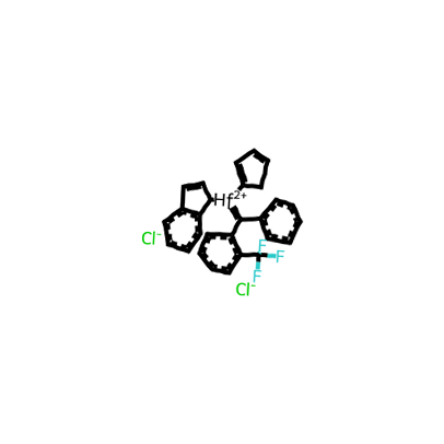 FC(F)(F)c1ccccc1[C](c1ccccc1)=[Hf+2]([C]1=CC=CC1)[CH]1C=Cc2ccccc21.[Cl-].[Cl-]